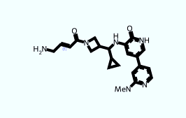 CNc1cc(-c2c[nH]c(=O)c(NC(C3CC3)C3CN(C(=O)/C=C/CN)C3)c2)ccn1